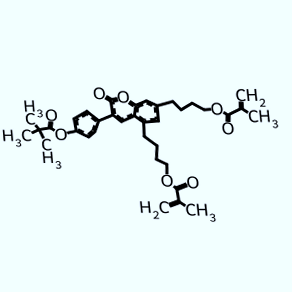 C=C(C)C(=O)OCCCCc1cc(CCCCOC(=O)C(=C)C)c2cc(-c3ccc(OC(=O)C(C)(C)C)cc3)c(=O)oc2c1